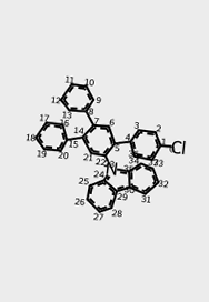 Clc1ccc(-c2cc(-c3ccccc3)c(-c3ccccc3)cc2-n2c3ccccc3c3ccccc32)cc1